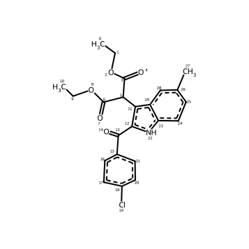 CCOC(=O)C(C(=O)OCC)c1c(C(=O)c2ccc(Cl)cc2)[nH]c2ccc(C)cc12